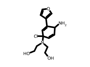 NC1C=CC(Cl)(N(CCO)CCO)C=C1c1ccoc1